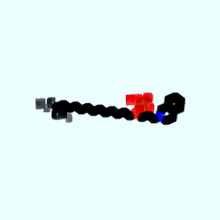 CC(C)CCCCCCCCCCCCOCC(CN1CCc2ccccc2C1)OS(=O)(=O)O